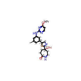 Cc1cc(Nc2nccc(OC(C)C)n2)cc(-c2cnc(C3(O)CCNC(=O)CC3)s2)c1